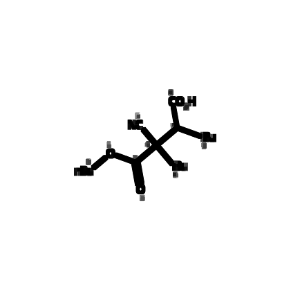 CCCCOC(=O)C(C#N)(C(C)CC)C(C(=O)O)C(C)CC